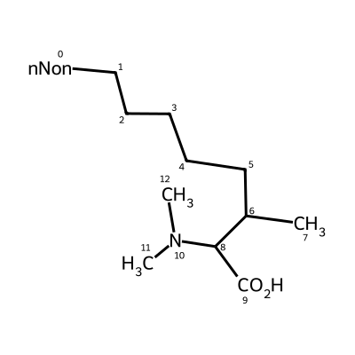 CCCCCCCCCCCCCCC(C)C(C(=O)O)N(C)C